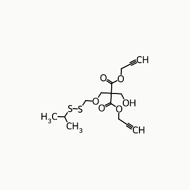 C#CCOC(=O)C(CO)(COCSSC(C)C)C(=O)OCC#C